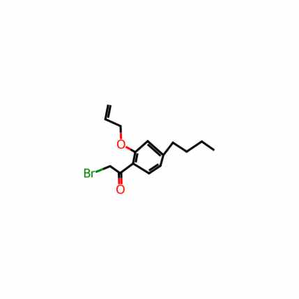 C=CCOc1cc(CCCC)ccc1C(=O)CBr